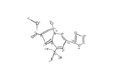 COC(=O)c1nc2c(C(F)(F)F)cc(-c3ccco3)cn2c1Cl